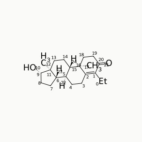 CCC1=C2CC[C@H]3[C@@H]4CC[C@H](O)[C@@]4(C)CC[C@@H]3[C@@]2(C)CCC1=O